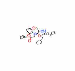 CCOC(=O)C(CCC1CCCCC1)NC1COc2ccccc2N(CC(=O)OC(C)(C)C)C1=O